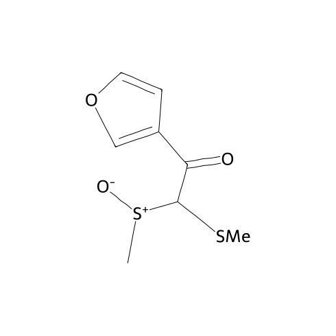 CSC(C(=O)c1ccoc1)[S+](C)[O-]